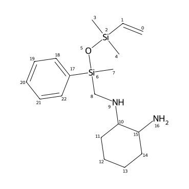 C=C[Si](C)(C)O[Si](C)(CNC1CCCCC1N)c1ccccc1